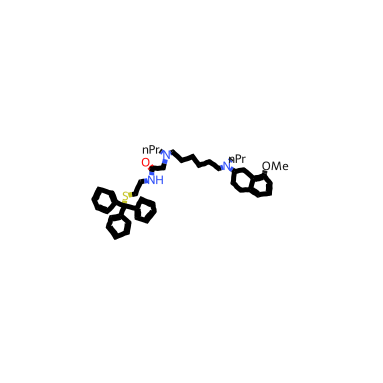 CCCN(CCCCCCN(CCC)C1CCc2cccc(OC)c2C1)CC(=O)NCCSC(c1ccccc1)(c1ccccc1)c1ccccc1